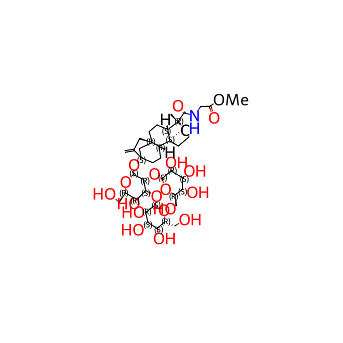 C=C1C[C@@]23CC[C@H]4[C@@](C)(CCC[C@@]4(C)C(=O)NCC(=O)OC)[C@@H]2CC[C@]1(O[C@@H]1O[C@H](CO)[C@@H](O)[C@H](O[C@@H]2O[C@H](CO)[C@@H](O)[C@H](O)[C@H]2O)[C@H]1O[C@@H]1O[C@H](CO)[C@@H](O)[C@H](O)[C@H]1O)C3